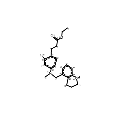 CCOC(=O)CCc1ccc(N(C)Cc2cccc3c2CCCN3)cc1F